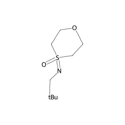 CC(C)(C)CN=S1(=O)CCOCC1